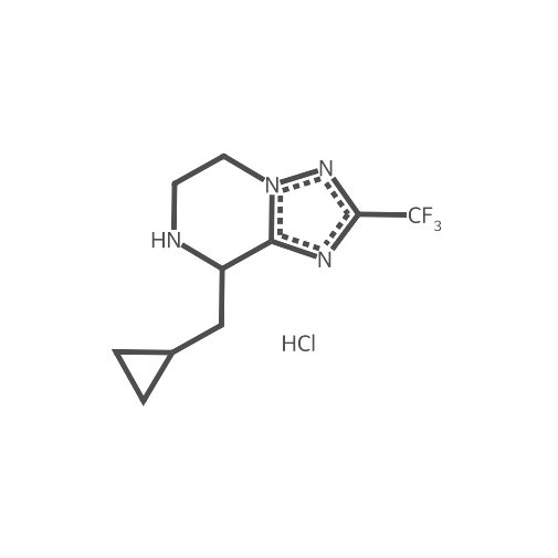 Cl.FC(F)(F)c1nc2n(n1)CCNC2CC1CC1